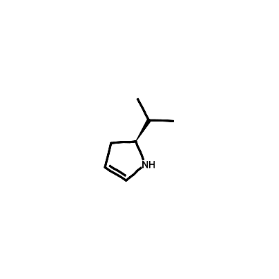 CC(C)[C@@H]1CC=CN1